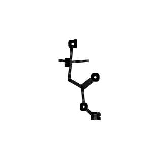 CCOC(=O)C[Si](C)(C)Cl